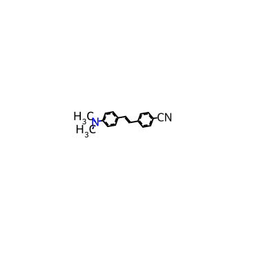 CN(C)c1ccc(C=Cc2ccc(C#N)cc2)cc1